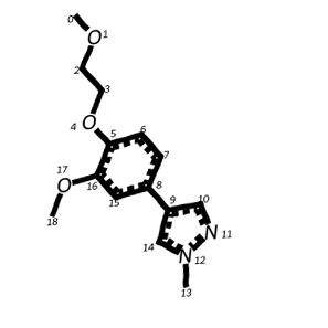 COCCOc1ccc(-c2cnn(C)c2)cc1OC